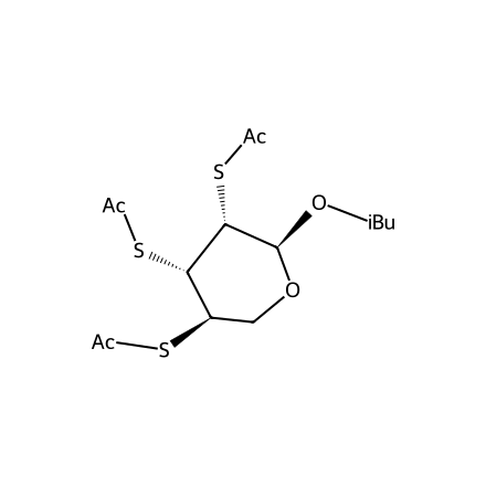 CCC(C)O[C@H]1OC[C@@H](SC(C)=O)[C@H](SC(C)=O)[C@@H]1SC(C)=O